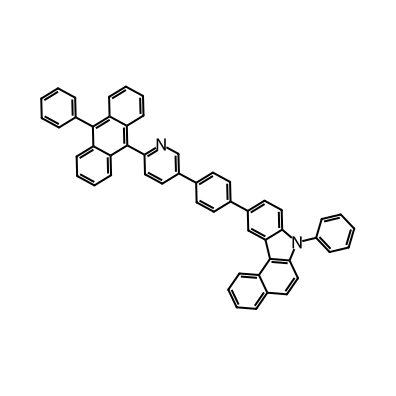 c1ccc(-c2c3ccccc3c(-c3ccc(-c4ccc(-c5ccc6c(c5)c5c7ccccc7ccc5n6-c5ccccc5)cc4)cn3)c3ccccc23)cc1